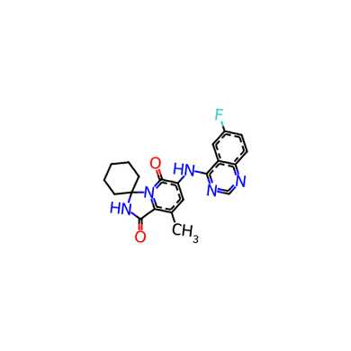 Cc1cc(Nc2ncnc3ccc(F)cc23)c(=O)n2c1C(=O)NC21CCCCC1